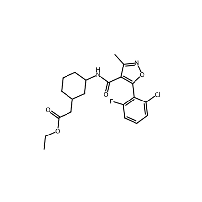 CCOC(=O)CC1CCCC(NC(=O)c2c(C)noc2-c2c(F)cccc2Cl)C1